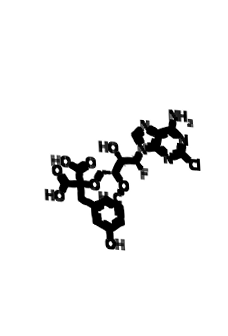 CO[C@H](COC(Cc1cccc(O)c1)(C(=O)O)C(=O)O)[C@@H](O)[C@H](F)n1cnc2c(N)nc(Cl)nc21